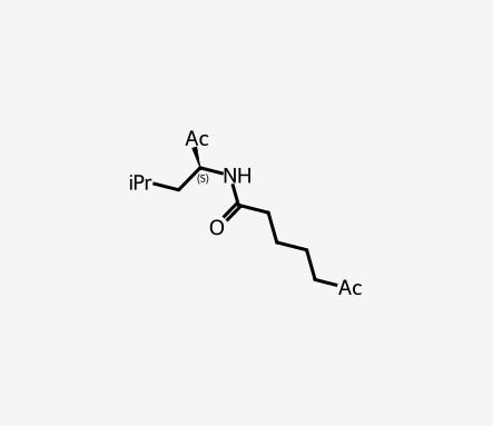 CC(=O)CCCCC(=O)N[C@@H](CC(C)C)C(C)=O